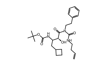 C=CCCNC(=O)N(CCc1ccccc1)C(=O)[C@@H](O)C(CC1CCC1)NC(=O)OC(C)(C)C